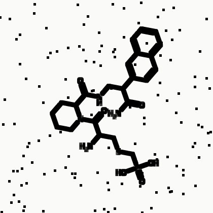 NC(=O)C(CNC(=O)C1CCCCN1C(=O)C(N)CSCP(=O)(O)O)c1ccc2ccccc2c1